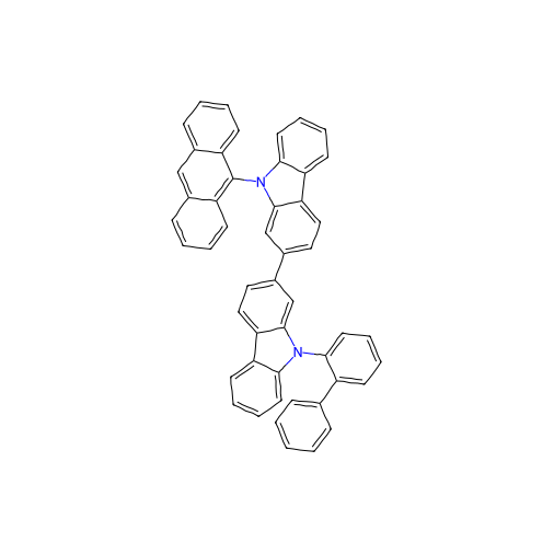 c1ccc(-c2ccccc2-n2c3ccccc3c3ccc(-c4ccc5c6ccccc6n(-c6c7ccccc7cc7ccccc67)c5c4)cc32)cc1